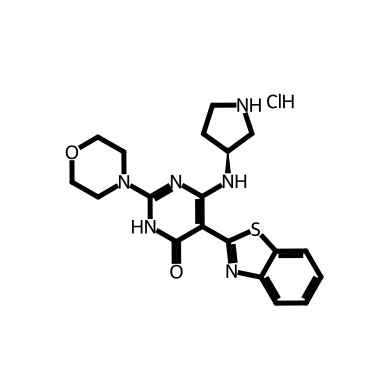 Cl.O=c1[nH]c(N2CCOCC2)nc(N[C@H]2CCNC2)c1-c1nc2ccccc2s1